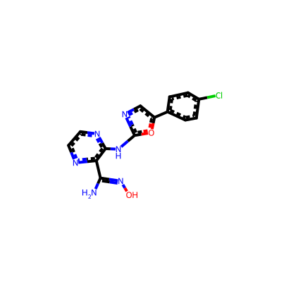 NC(=NO)c1nccnc1Nc1ncc(-c2ccc(Cl)cc2)o1